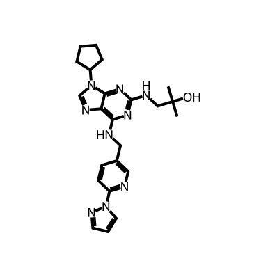 CC(C)(O)CNc1nc(NCc2ccc(-n3cccn3)nc2)c2ncn(C3CCCC3)c2n1